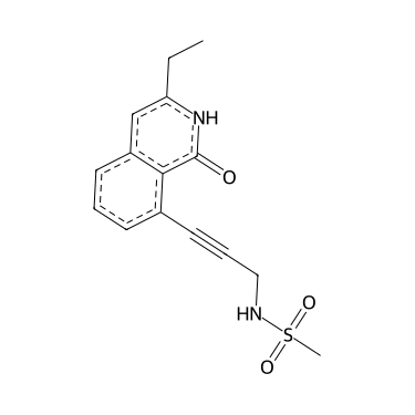 CCc1cc2cccc(C#CCNS(C)(=O)=O)c2c(=O)[nH]1